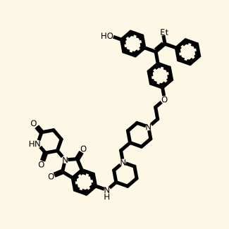 CCC(=C(c1ccc(O)cc1)c1ccc(OCCN2CCC(CN3CCCC(Nc4ccc5c(c4)C(=O)N(C4CCC(=O)NC4=O)C5=O)C3)CC2)cc1)c1ccccc1